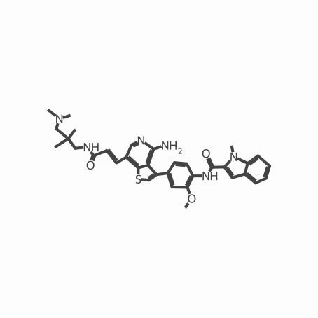 COc1cc(-c2csc3c(C=CC(=O)NCC(C)(C)CN(C)C)cnc(N)c23)ccc1NC(=O)c1cc2ccccc2n1C